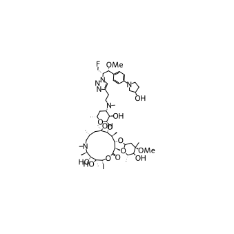 CO[C@H](c1ccc(N2CC[C@@H](O)C2)cc1)[C@@H](CF)n1cc(CCN(C)[C@H]2C[C@@H](C)O[C@@H](O[C@@H]3[C@@H](C)[C@H](O[C@H]4C[C@@](C)(OC)[C@@H](O)[C@H](C)O4)[C@@H](C)C(=O)O[C@H](I)[C@@](C)(O)[C@H](O)[C@@H](C)N(C)C[C@H](C)C[C@@]3(C)O)[C@@H]2O)nn1